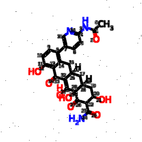 CC(=O)Nc1ccc(-c2ccc(O)c3c2C[C@H]2C[C@H]4CC(O)C(C(N)=O)C(=O)[C@@]4(O)C(O)=C2C3=O)cn1